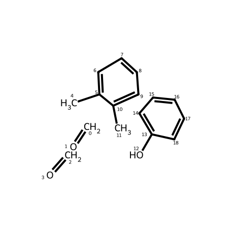 C=O.C=O.Cc1ccccc1C.Oc1ccccc1